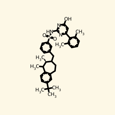 Cc1cccc(C)c1-c1cc(O)nc(NS(=O)(=O)c2cccc(CC3CCc4cc(C(C)(C)C)ccc4C(C)[C@H]3C)c2)n1